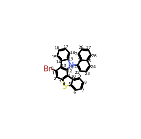 Brc1cc2sc3ccccc3c2c2c1c1ccccc1n2-c1cccc2ccccc12